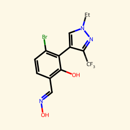 CCn1cc(-c2c(Br)ccc(C=NO)c2O)c(C(F)(F)F)n1